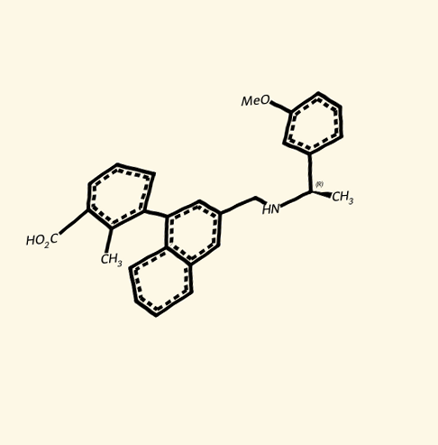 COc1cccc([C@@H](C)NCc2cc(-c3cccc(C(=O)O)c3C)c3ccccc3c2)c1